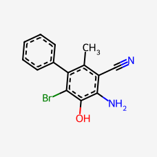 Cc1c(C#N)c(N)c(O)c(Br)c1-c1ccccc1